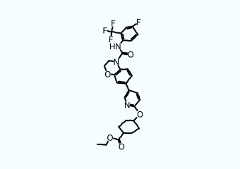 CCOC(=O)C1CCC(Oc2ccc(-c3ccc4c(c3)OCCN4C(=O)Nc3ccc(F)cc3C(F)(F)F)cn2)CC1